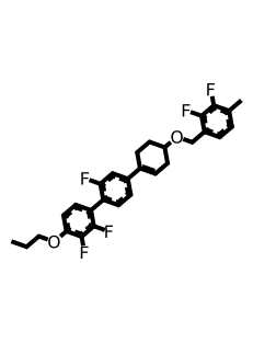 CCCOc1ccc(-c2ccc(C3=CCC(OCc4ccc(C)c(F)c4F)CC3)cc2F)c(F)c1F